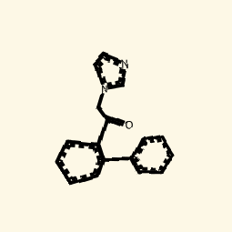 O=C(Cn1ccnc1)c1ccccc1-c1ccccc1